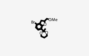 COCC1Cc2c(Br)ccc(C3(C)OCCCO3)c2O1